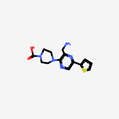 NCc1nc(-c2cccs2)cnc1N1CCN(C(=O)O)CC1